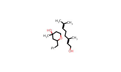 CC(C)=CCC/C(C)=C/CO.CC(C)CC1CC(C)(O)CCO1